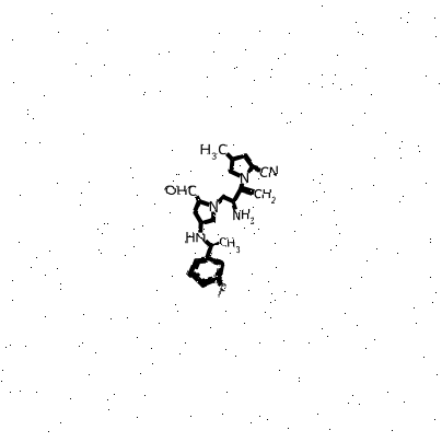 C=C(C(N)CN1CC(N[C@@H](C)c2cccc(F)c2)CC1C=O)N1CC(C)CC1C#N